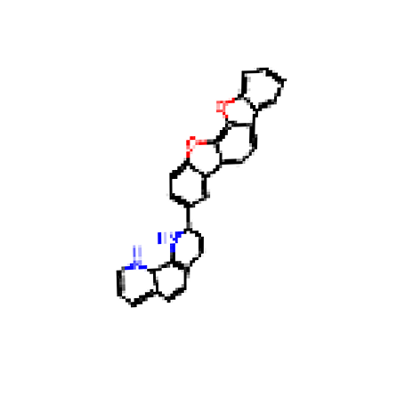 C1=CNC2C(=C1)C=CC1=C2NC(c2ccc3oc4c(ccc5c6ccccc6oc54)c3c2)C=C1